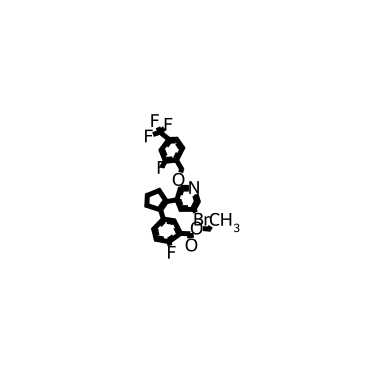 CCOC(=O)c1cc(C2=C(c3cc(Br)cnc3OCc3ccc(C(F)(F)F)cc3F)CCC2)ccc1F